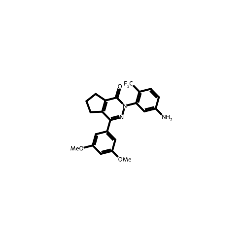 COc1cc(OC)cc(-c2nn(-c3cc(N)ccc3C(F)(F)F)c(=O)c3c2CCC3)c1